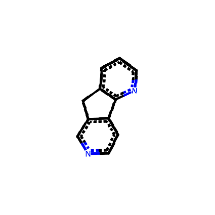 c1cnc2c(c1)Cc1cnccc1-2